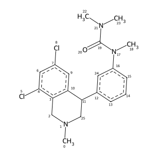 CN1Cc2c(Cl)cc(Cl)cc2C(c2cccc(N(C)C(=O)N(C)C)c2)C1